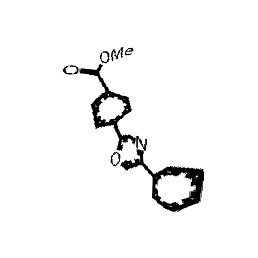 COC(=O)c1ccc(-c2nc(-c3ccccc3)co2)cc1